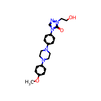 COc1ccc(N2CCN(c3ccc(-n4cnn(CCO)c4=O)cc3)CC2)cc1